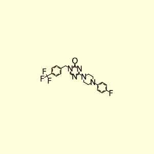 O=c1nc(N2CCN(c3ccc(F)cc3)CC2)ncn1Cc1ccc(C(F)(F)F)cc1